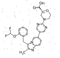 Cc1nc2ccc(-c3cnc(N4CCO[C@H](C(=O)O)C4)nc3)cn2c1Cc1ccccc1OC(F)F